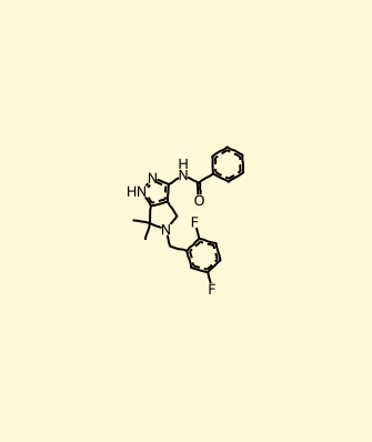 CC1(C)c2[nH]nc(NC(=O)c3ccccc3)c2CN1Cc1cc(F)ccc1F